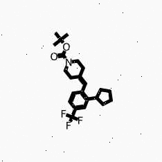 CC(C)(C)OC(=O)N1CCC(=Cc2ccc(C(F)(F)F)cc2C2CCCC2)CC1